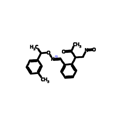 CC(=O)C(CN=O)c1ccccc1/C=N/OC(C)c1cccc(C)c1